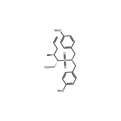 C=CC[C@H](C)[C@@H](CO)S(=O)(=O)N(Cc1ccc(OC)cc1)Cc1ccc(OC)cc1